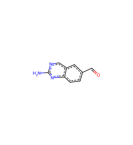 Nc1ncc2cc(C=O)ccc2n1